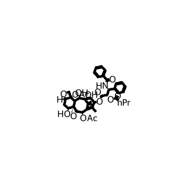 CCCC(=O)OC(C(=O)OC1C[C@]2(O)[C@H](O)C3[C@@]4(OC(C)=O)CO[C@H]4C[C@@H](O)[C@]3(C)C(=O)[C@@H](OC(C)=O)C(=C1C)C2(C)C)[C@H](NC(=O)c1ccccc1)c1ccccc1